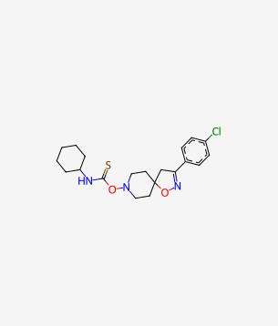 S=C(NC1CCCCC1)ON1CCC2(CC1)CC(c1ccc(Cl)cc1)=NO2